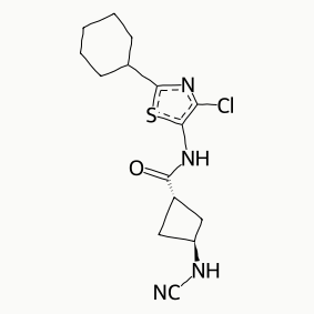 N#CN[C@H]1C[C@H](C(=O)Nc2sc(C3CCCCC3)nc2Cl)C1